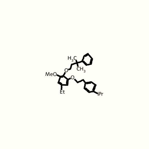 CCc1cc(OC)c(OCCC(C)(C)c2ccccc2)c(OCCc2ccc(C(C)C)cc2)c1